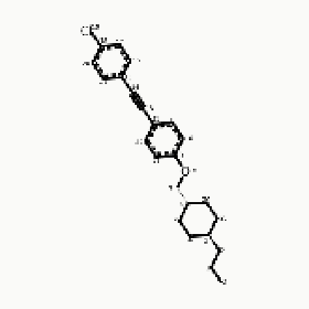 CCC[C@H]1CC[C@H](COc2ccc(C#Cc3ccc(Cl)cc3)cc2)CC1